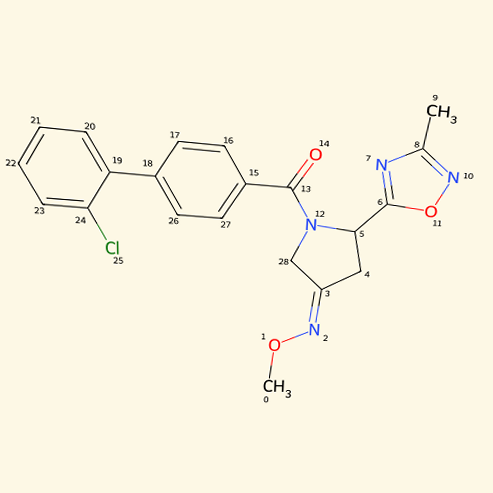 CON=C1CC(c2nc(C)no2)N(C(=O)c2ccc(-c3ccccc3Cl)cc2)C1